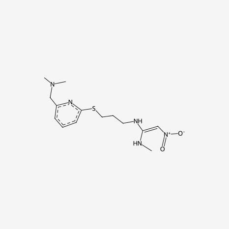 CNC(=C[N+](=O)[O-])NCCCSc1cccc(CN(C)C)n1